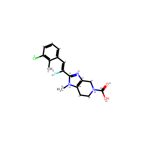 Cc1c(Cl)cccc1C=C(F)c1nc2c(n1C)CCN(C(=O)O)C2